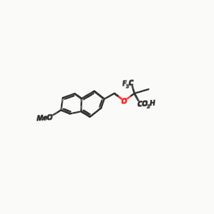 COc1ccc2cc(COC(C)(C(=O)O)C(F)(F)F)ccc2c1